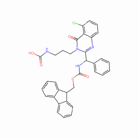 O=C(O)NCCCn1c(C(NC(=O)OCC2c3ccccc3-c3ccccc32)c2ccccc2)nc2cccc(Cl)c2c1=O